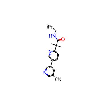 CC(C)CNC(=O)C(C)(C)c1ccc(-c2cncc(C#N)c2)cn1